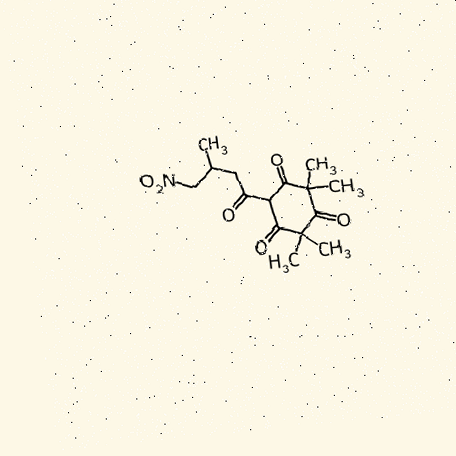 CC(CC(=O)C1C(=O)C(C)(C)C(=O)C(C)(C)C1=O)C[N+](=O)[O-]